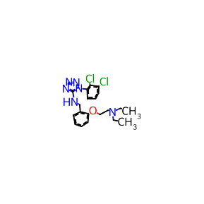 CCN(CC)CCOc1ccccc1CNc1nnnn1-c1cccc(Cl)c1Cl